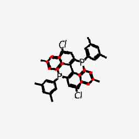 Cc1cc(C)cc(P(c2cc(C)cc(C)c2)c2cc(Cl)c3ccccc3c2-c2c(P(c3cc(C)cc(C)c3)c3cc(C)cc(C)c3)cc(Cl)c3ccccc23)c1